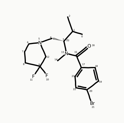 CC(C)[C@@H](CN1CCCC(F)(F)C1)N(C)C(=O)c1ccc(Br)cc1